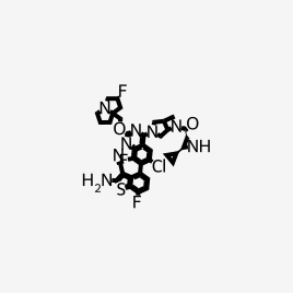 N#Cc1c(N)sc2c(F)ccc(-c3c(Cl)cc4c(N5CC6CN(C(=O)[C@@H]7N[C@H]7C7CC7)C6C5)nc(OCC56CCCN5C[C@H](F)C6)nc4c3F)c12